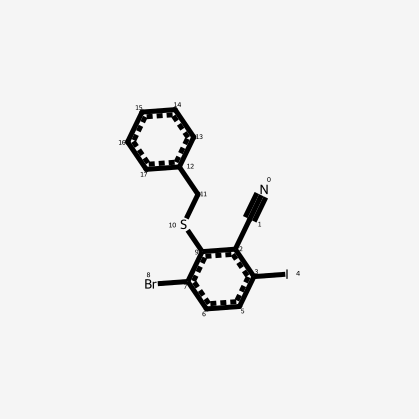 N#Cc1c(I)ccc(Br)c1SCc1ccccc1